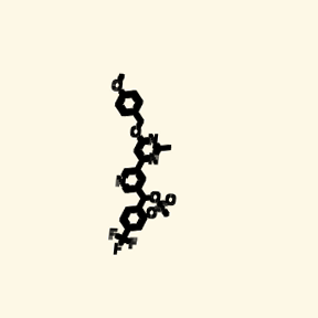 COc1ccc(COc2cc(-c3cncc(C(OS(C)(=O)=O)c4ccc(C(F)(F)F)cc4)c3)nc(C)n2)cc1